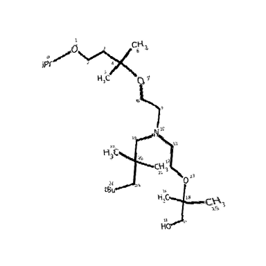 CC(C)OCCC(C)(C)OCCN(CCOC(C)(C)CO)CC(C)(C)CC(C)(C)C